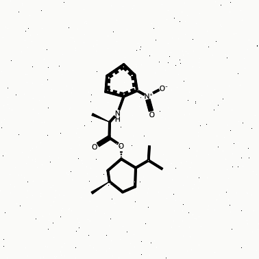 CC(C)C1CC[C@@H](C)C[C@@H]1OC(=O)[C@@H](C)Nc1ccccc1[N+](=O)[O-]